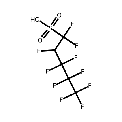 O=S(=O)(O)C(F)(F)C(F)C(F)(F)C(F)(F)C(F)(F)F